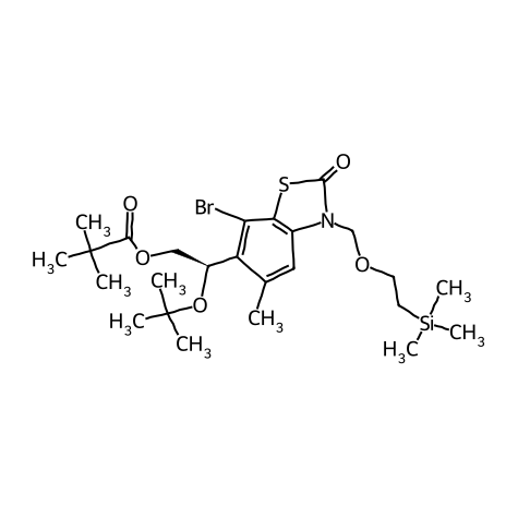 Cc1cc2c(sc(=O)n2COCC[Si](C)(C)C)c(Br)c1[C@H](COC(=O)C(C)(C)C)OC(C)(C)C